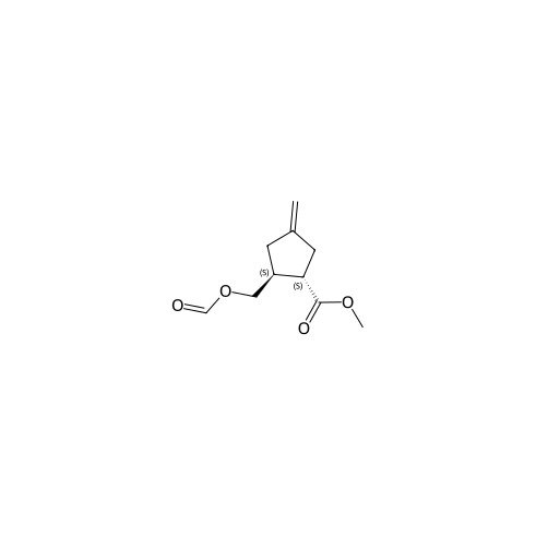 C=C1C[C@H](COC=O)[C@@H](C(=O)OC)C1